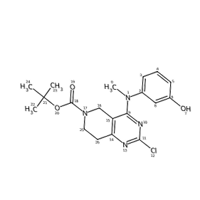 CN(c1cccc(O)c1)c1nc(Cl)nc2c1CN(C(=O)OC(C)(C)C)CC2